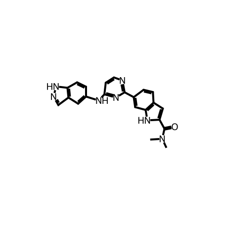 CN(C)C(=O)c1cc2ccc(-c3nccc(Nc4ccc5[nH]ncc5c4)n3)cc2[nH]1